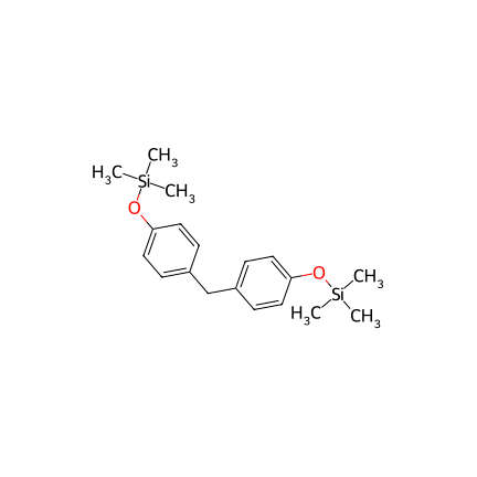 C[Si](C)(C)Oc1ccc(Cc2ccc(O[Si](C)(C)C)cc2)cc1